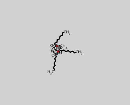 CCCCCCCCS(=O)(=O)N(F)C(C(=O)O)(N(F)S(=O)(=O)CCCCCCCC)[N+](F)(CC)S(=O)(=O)CCCCCCCC